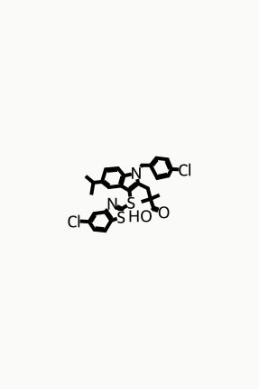 CC(C)c1ccc2c(c1)c(Sc1nc3cc(Cl)ccc3s1)c(CC(C)(C)C(=O)O)n2Cc1ccc(Cl)cc1